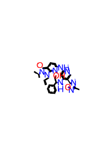 C=CCn1c2nc(Nc3cc(NC(CO)c4ccccc4)c(-c4nc(C)no4)cn3)ccc2c(=O)n1C(C)C